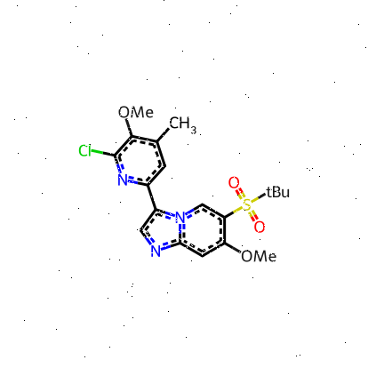 COc1cc2ncc(-c3cc(C)c(OC)c(Cl)n3)n2cc1S(=O)(=O)C(C)(C)C